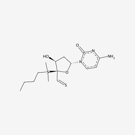 CCCC[Si](C)(C)[C@]1(C=S)O[C@@H](n2ccc(N)nc2=O)C[C@@H]1O